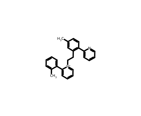 Cc1ccc(-c2ccccn2)c(CC[n+]2ccccc2-c2ccccc2C)c1